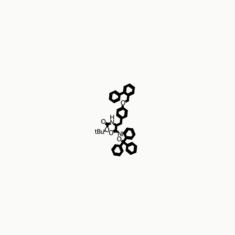 CC(C)(C)OC(=O)NC(Cc1ccc(OCc2ccccc2-c2ccccc2)cc1)C(=O)NOC(c1ccccc1)(c1ccccc1)c1ccccc1